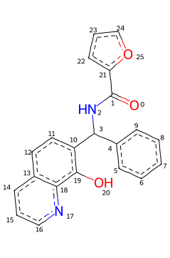 O=C(NC(c1ccccc1)c1ccc2cccnc2c1O)c1ccco1